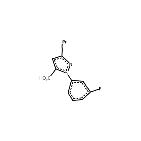 CC(C)c1cc(C(=O)O)n(-c2cccc(F)c2)n1